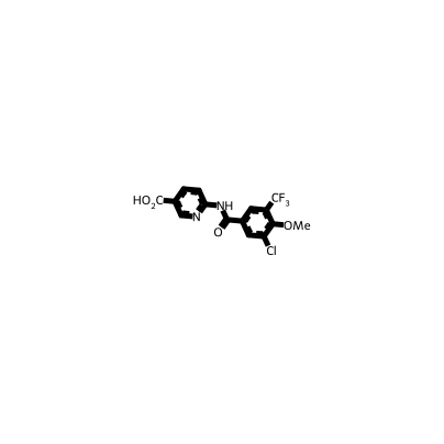 COc1c(Cl)cc(C(=O)Nc2ccc(C(=O)O)cn2)cc1C(F)(F)F